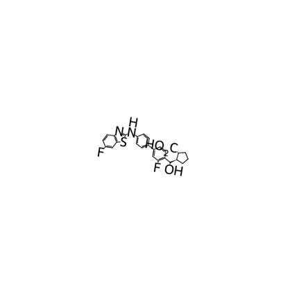 O=C(O)[C@@H]1CCC[C@H]1C(O)c1ccc(-c2ccc(Nc3nc4ccc(F)cc4s3)cc2)cc1F